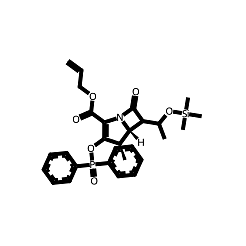 C=CCOC(=O)C1=C(OP(=O)(c2ccccc2)c2ccccc2)[C@H](C)[C@H]2C(C(C)O[Si](C)(C)C)C(=O)N12